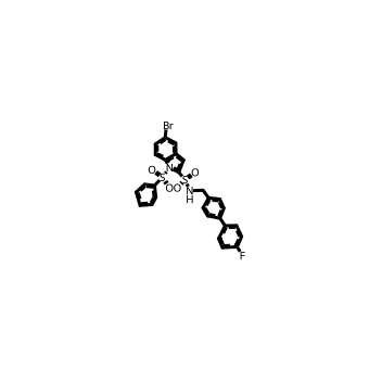 O=S(=O)(NCc1ccc(-c2ccc(F)cc2)cc1)c1cc2cc(Br)ccc2n1S(=O)(=O)c1ccccc1